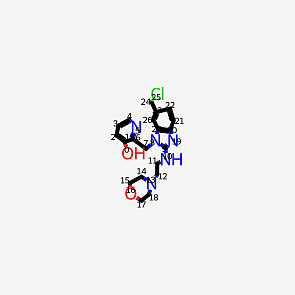 Oc1cccnc1Cn1c(NCCN2CCOCC2)nc2ccc(CCl)cc21